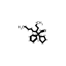 CCCCCC(CCC)C(C#N)(c1ccccc1)C1CCCC1